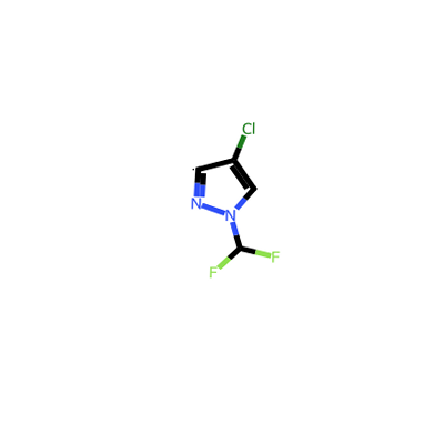 FC(F)n1cc(Cl)[c]n1